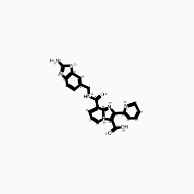 Nc1nc2ccc(CNC(=O)c3cccn4c(C(=O)O)c(-c5ccccn5)nc34)cc2s1